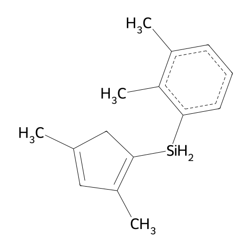 CC1=CC(C)=C([SiH2]c2cccc(C)c2C)C1